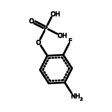 Nc1ccc(OP(=O)(O)O)c(F)c1